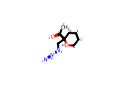 CC(=O)C1(CN=[N+]=[N-])CCCCO1